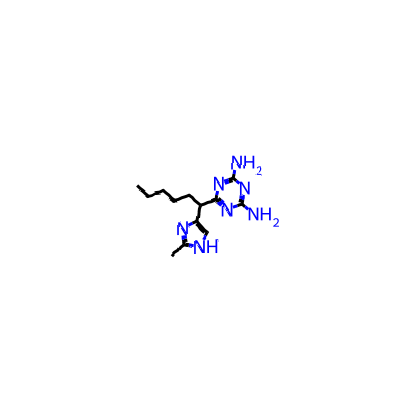 CCCCCC(c1c[nH]c(C)n1)c1nc(N)nc(N)n1